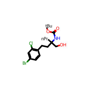 CCCC(CO)(CCc1ccc(Br)cc1Cl)NC(=O)OC(C)(C)C